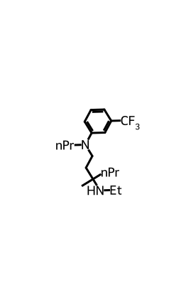 CCCN(CCC(C)(CCC)NCC)c1cccc(C(F)(F)F)c1